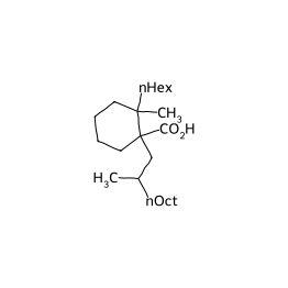 CCCCCCCCC(C)CC1(C(=O)O)CCCCC1(C)CCCCCC